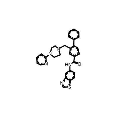 O=C(Nc1ccc2scnc2c1)c1ccc(-c2ccccc2)c(CN2CCN(c3ccccn3)CC2)c1